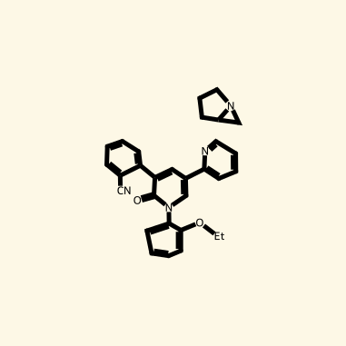 C1CC2CN2C1.CCOc1ccccc1-n1cc(-c2ccccn2)cc(-c2ccccc2C#N)c1=O